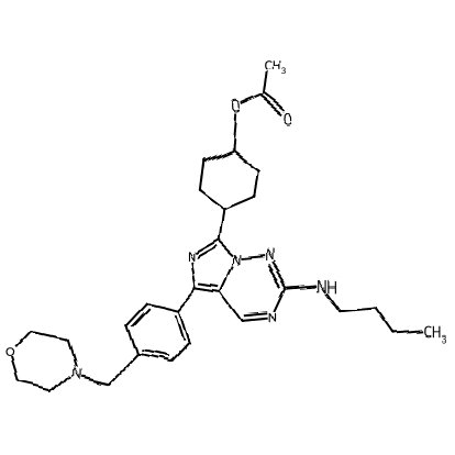 CCCCNc1ncc2c(-c3ccc(CN4CCOCC4)cc3)nc(C3CCC(OC(C)=O)CC3)n2n1